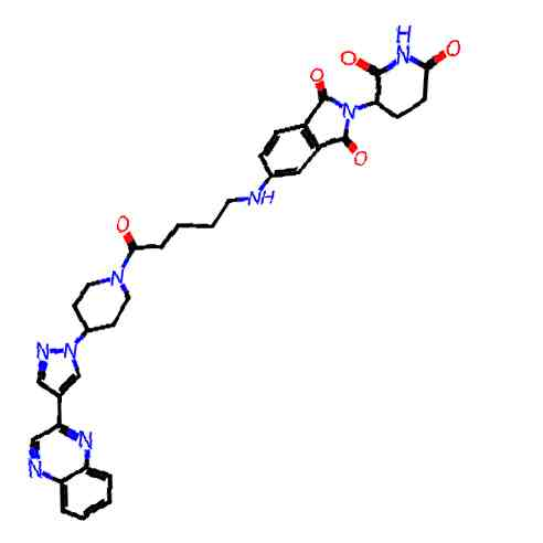 O=C1CCC(N2C(=O)c3ccc(NCCCCC(=O)N4CCC(n5cc(-c6cnc7ccccc7n6)cn5)CC4)cc3C2=O)C(=O)N1